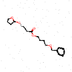 O=C(CCCOC1CCCO1)OCCCCOCc1ccccc1